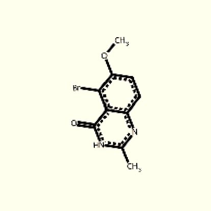 COc1ccc2nc(C)[nH]c(=O)c2c1Br